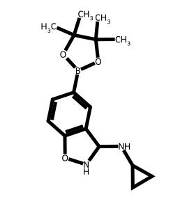 CC1(C)OB(c2ccc3c(c2)C(NC2CC2)NO3)OC1(C)C